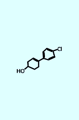 OC1CC=C(c2ccc(Cl)cc2)CC1